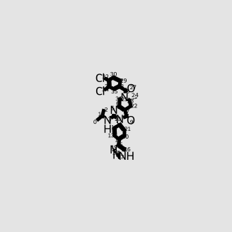 CC(C)Nc1nc2c(c(=O)n1-c1ccc(-c3c[nH]nn3)cc1)C[C@@H](C)N(C(=O)c1ccc(Cl)c(Cl)c1)C2